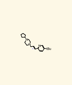 CC(C)(C)c1ccc(/C=C/CN2CCN(C3CCCC3)CC2)nc1